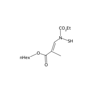 CCCCCCOC(=O)C(C)=CN(S)C(=O)OCC